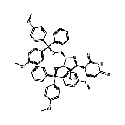 COc1ccc(C(OC[C@H]2O[C@@H](n3ccc(=O)[nH]c3=O)C(O)[C@H]2OC(c2ccccc2)(c2ccc(OC)cc2)c2ccc(OC)cc2)(c2ccccc2)c2ccc(OC)cc2)cc1